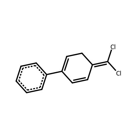 ClC(Cl)=C1C=CC(c2ccccc2)=CC1